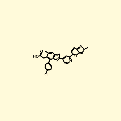 Cc1cc2nc(-c3ccnc(-c4ccc5nn(C)cc5n4)c3)sc2c(-c2ccc(Cl)cc2)c1CC(=O)O